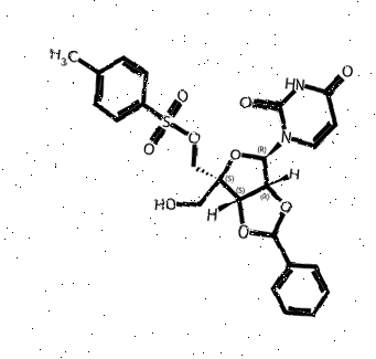 Cc1ccc(S(=O)(=O)OC[C@]2(CO)O[C@@H](n3ccc(=O)[nH]c3=O)[C@@H]3OC(c4ccccc4)O[C@@H]32)cc1